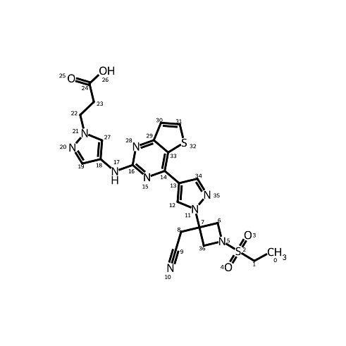 CCS(=O)(=O)N1CC(CC#N)(n2cc(-c3nc(Nc4cnn(CCC(=O)O)c4)nc4ccsc34)cn2)C1